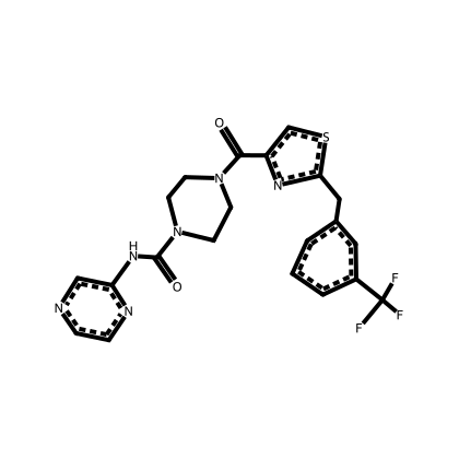 O=C(Nc1cnccn1)N1CCN(C(=O)c2csc(Cc3cccc(C(F)(F)F)c3)n2)CC1